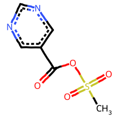 CS(=O)(=O)OC(=O)c1cncnc1